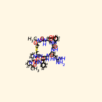 CC(=O)N[C@H]1CCSSC[C@@H](C(=O)N2CCC[C@H]2C(=O)N2CCC[C@H]2C(C)=O)NC(=O)[C@H](Cc2c[nH]c3ccccc23)NC(=O)[C@H](CCCNC(=N)N)NC(=O)[C@@H](Cc2ccccc2)NC(=O)[C@H](CO)NC1=O